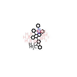 Bc1c(B)c(B)c2c(-c3ccccc3-c3nc4ccccc4n3-c3ccccc3)c3c(B)c(B)c(B)c(B)c3c(-c3ccc4c(c3)C(C)(C)c3ccccc3-4)c2c1B